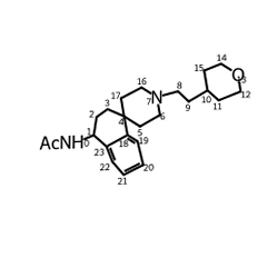 CC(=O)NC1CCC2(CCN(CCC3CCOCC3)CC2)c2ccccc21